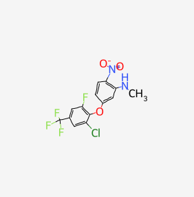 CNc1cc(Oc2c(F)cc(C(F)(F)F)cc2Cl)ccc1[N+](=O)[O-]